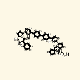 CCN(CC)[C@@H](C(=O)N1CCC[C@H]1c1ncc(-c2ccc(-c3ccc(-c4cnc([C@@H]5CCCN5CC5(NC(=O)O)CCCC5)[nH]4)cc3)cc2)[nH]1)c1ccccc1